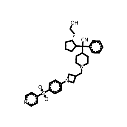 N#CC(c1ccccc1)(C1CCN(CC2CN(c3ccc(S(=O)(=O)c4ccncc4)cc3)C2)CC1)C1CCC[C@@H]1CCO